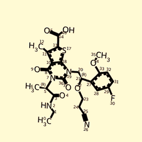 CCNC(=O)[C@@H](C)n1c(=O)c2c(C)c(C(=O)O)sc2n(C[C@H](OCCC#N)c2cc(F)ccc2OC)c1=O